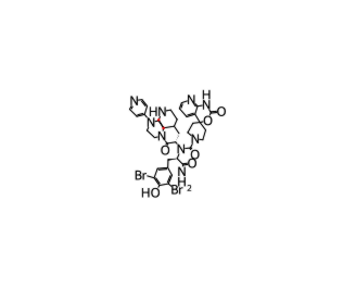 NC(=O)[C@@H](Cc1cc(Br)c(O)c(Br)c1)N(C(=O)N1CCC2(CC1)OC(=O)Nc1ncccc12)[C@@H](CC1CCNCC1)C(=O)N1CCN(c2ccncc2)CC1